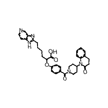 O=C(O)C(CCCCc1nc2cnccc2[nH]1)Oc1ccc(C(=O)N2CCC(N3C(=O)CCc4ccccc43)CC2)cc1